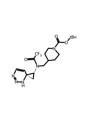 CC(C)(C)OC(=O)N1CCC(CN(C(=O)C(F)(F)F)[C@@H]2C[C@]23C=CN=NN3)CC1